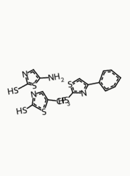 FC(F)(F)c1cnc(S)s1.Nc1cnc(S)s1.Sc1nc(-c2ccccc2)cs1